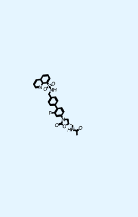 CC(=O)NC[C@H]1CN(c2ccc(-c3ccc(CNS(=O)(=O)C4=CC=CC5C=CC=NC45)cc3)c(F)c2)C(=O)O1